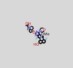 C#Cc1c(F)ccc2cc(O)cc(-c3nc(OC)c4c(N5CCCOCC5)nc(OC[C@]56CCC[C@H]5N(CC(C)(C)O)CCC6)nc4c3F)c12